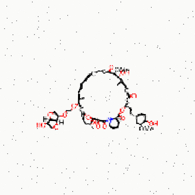 CO[C@@H]1C[C@H](CC[C@@H]2CC(=O)C/C=C(\C)[C@@H](O)[C@@H](OC)C(=O)CCC/C=C/C=C/C=C(\C)C(OCCO[C@@H]3CO[C@H]4[C@@H]3OC[C@H]4O)C[C@@H]3CC[C@@H](C)[C@@](O)(O3)C(=O)C(=O)N3CCCC[C@H]3C(=O)O2)CC[C@H]1O